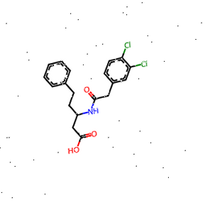 O=C(O)CC(CCc1ccccc1)NC(=O)Cc1ccc(Cl)c(Cl)c1